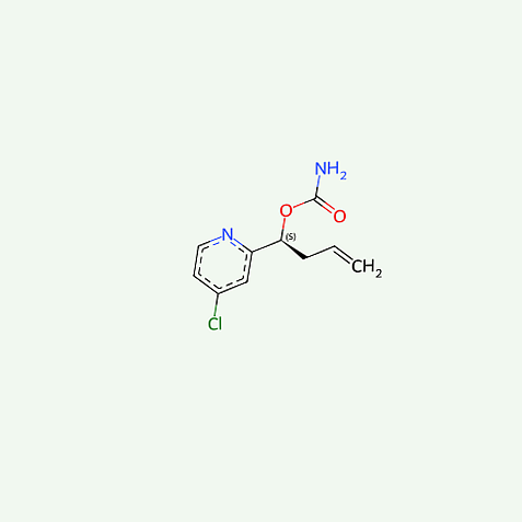 C=CC[C@H](OC(N)=O)c1cc(Cl)ccn1